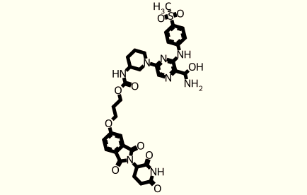 CS(=O)(=O)c1ccc(Nc2nc(N3CCCC(NC(=O)OCCCOc4ccc5c(c4)C(=O)N(C4CCC(=O)NC4=O)C5=O)C3)cnc2C(N)O)cc1